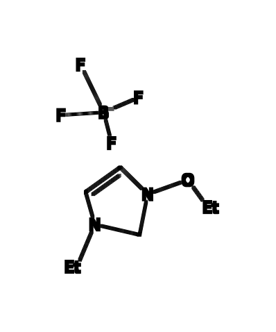 CCON1C=CN(CC)C1.F[B-](F)(F)F